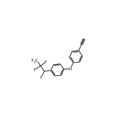 C#Cc1ccc(Oc2ccc(C(F)C(F)(F)C(F)(F)F)cc2)cc1